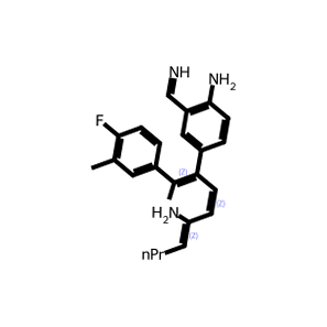 CCC/C=C(N)/C=C\C(=C(/C)c1ccc(F)c(C)c1)c1ccc(N)c(C=N)c1